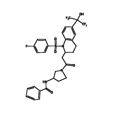 O=C(NC1CCN(C(=O)CC2CCc3cc(C(O)(C(F)(F)F)C(F)(F)F)ccc3N2S(=O)(=O)c2ccc(F)cc2)C1)c1ccccc1